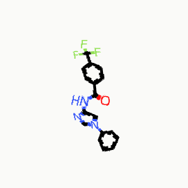 O=C(Nc1cn(-c2ccccc2)cn1)c1ccc(C(F)(F)F)cc1